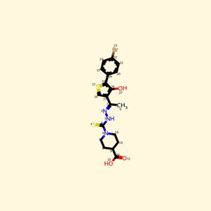 C/C(=N\NC(=S)N1CCC(C(=O)O)CC1)c1csc(-c2ccc(Br)cc2)c1O